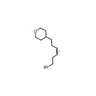 CC(C)CC/C=C\CCC1CCOCC1